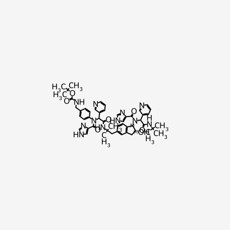 CC(C)(C)NC(=O)C(c1cccnc1)N(C(=O)c1c[nH]cn1)[C@@H]1c2ccc(CC(C)(C)NC(=O)C(c3cccnc3)N(C(=O)c3c[nH]cn3)c3ccc(CNC(=O)OC(C)(C)C)cc3)cc2C[C@H]1O